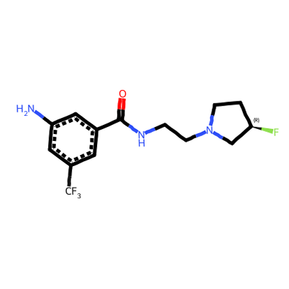 Nc1cc(C(=O)NCCN2CC[C@@H](F)C2)cc(C(F)(F)F)c1